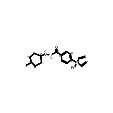 C=C[Si](C=C)(CC)c1ccc(C(=O)OO[C]2CCC(C)CC2)cc1